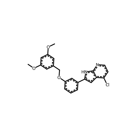 COc1cc(COc2cccc(-c3cc4c(Cl)ccnc4[nH]3)c2)cc(OC)c1